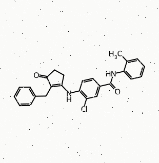 Cc1ccccc1NC(=O)c1ccc(NC2=C(Cc3ccccc3)C(=O)CC2)c(Cl)c1